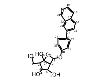 OCC1C(O)C(O)C2C(Oc3ccc(-c4ccc5ccncc5c4)cc3)OC12O